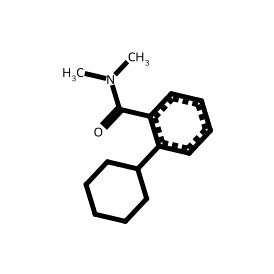 CN(C)C(=O)c1ccccc1C1CCCCC1